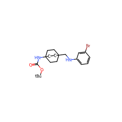 CC(C)(C)OC(=O)NC12CCC(CNc3cccc(Br)c3)(CC1)CC2